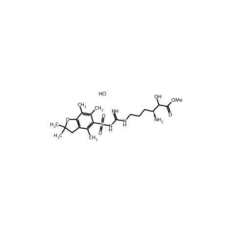 COC(=O)C(O)[C@@H](N)CCCNC(=N)NS(=O)(=O)c1c(C)c(C)c2c(c1C)CC(C)(C)O2.Cl